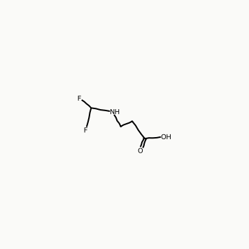 O=C(O)CCNC(F)F